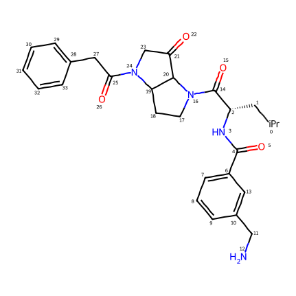 CC(C)C[C@H](NC(=O)c1cccc(CN)c1)C(=O)N1CCC2C1C(=O)CN2C(=O)Cc1ccccc1